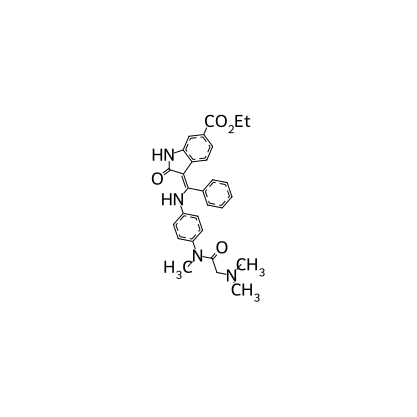 CCOC(=O)c1ccc2c(c1)NC(=O)/C2=C(\Nc1ccc(N(C)C(=O)CN(C)C)cc1)c1ccccc1